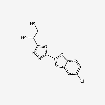 SCC(S)c1nnc(-c2cc3cc(Cl)ccc3o2)o1